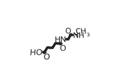 CNC(=O)CNC(=O)CCCC(=O)O